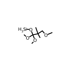 COCC(C)(C)C(OC)(OC)O[SiH3]